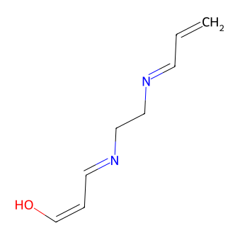 C=C/C=N/CC/N=C/C=C\O